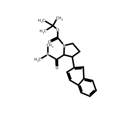 CN(C)C(=O)C1C(c2ccc3ccccc3c2)CCN1C(=O)OC(C)(C)C